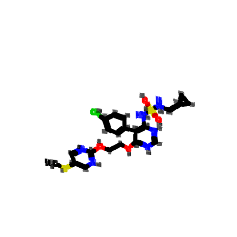 CSc1cnc(OCCOc2ncnc(NS(=O)(=O)NCC3CC3)c2-c2ccc(Cl)cc2)nc1